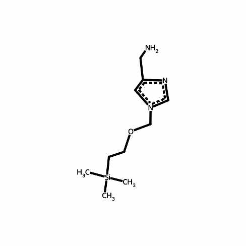 C[Si](C)(C)CCOCn1cnc(CN)c1